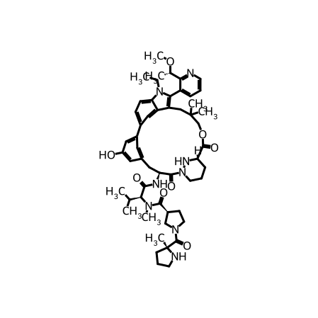 CCn1c(-c2cccnc2[C@H](C)OC)c2c3cc(ccc31)-c1cc(O)cc(c1)C[C@H](NC(=O)[C@H](C(C)C)N(C)C(=O)[C@H]1CCN(C(=O)[C@@]3(C)CCCN3)C1)C(=O)N1CCC[C@H](N1)C(=O)OCC(C)(C)C2